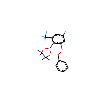 CC1(C)OB(c2c(OCc3ccccc3)cc(F)cc2C(F)(F)F)OC1(C)C